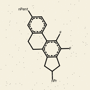 CCCCCc1ccc2c(c1)CCc1c3c(c(F)c(F)c1-2)CC(CCC)C3